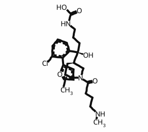 CNCCCC(=O)N1CCC[C@@H]([C@@](O)(CCCNC(=O)O)c2cccc(Cl)c2-c2ccc(C)o2)C1